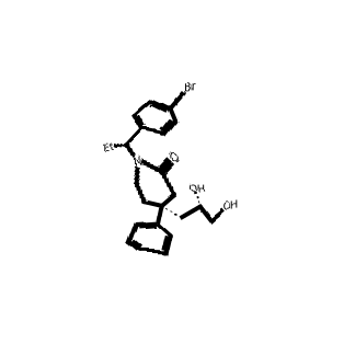 CC[C@@H](c1ccc(Br)cc1)N1CC[C@](C[C@H](O)CO)(c2ccccc2)CC1=O